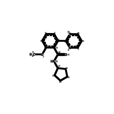 COc1cccc(-c2ncccn2)c1C(=O)NC1CCCC1